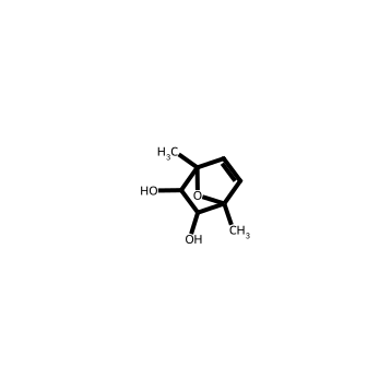 CC12C=CC(C)(O1)C(O)C2O